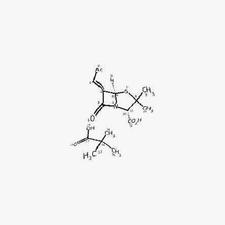 CC(=O)C=C1C(=O)N2[C@@H]1SC(C)(C)[C@@H]2C(=O)O.CC(C)(C)C(=O)O